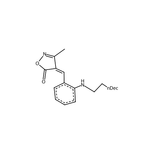 CCCCCCCCCCCCNc1ccccc1C=C1C(=O)ON=C1C